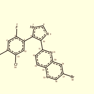 Cc1cc(F)c(-c2[nH]cnc2-c2ccc3ncc(Br)cc3n2)cc1Cl